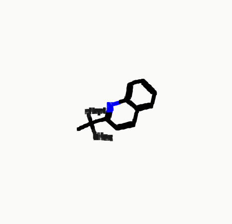 CCCCCCCC(C)(CCCCCC)c1ccc2ccccc2n1